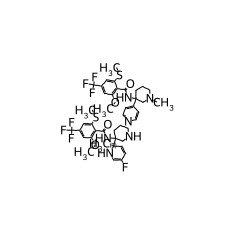 COc1cc(C(F)(F)F)cc(SC)c1C(=O)NC1([C@@]2(C)C=CC(F)=CN2)CCCNC1.COc1cc(C(F)(F)F)cc(SC)c1C(=O)NC1(c2ccncc2)CCCN(C)C1